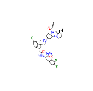 C=CC(=O)N1C[C@@H]2CCCN2c2cc(N3CCC4(CC3)C[C@@H](CC(=O)N[C@H](Cc3ccc(F)c(F)c3)c3nnco3)c3ccc(F)cc34)ccc21